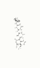 Cc1cnc2c(C(F)(F)F)cccc2c1-c1cccc(Cc2cccc(C[SH](=O)=O)c2)c1